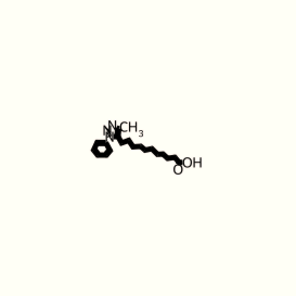 Cc1nnn(-c2ccccc2)c1CCCCCCCCCCC(=O)O